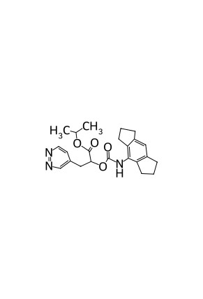 CC(C)OC(=O)C(Cc1ccnnc1)OC(=O)Nc1c2c(cc3c1CCC3)CCC2